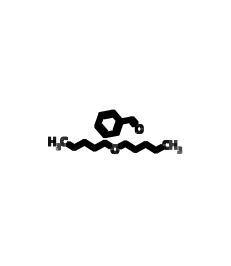 CCCCCOCCCCC.O=Cc1ccccc1